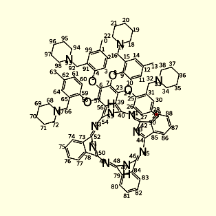 Cc1ccc(Oc2c(Oc3ccc(C)cc3CN3CCCCC3)c(Oc3ccc(C)cc3CN3CCCCC3)c3c4nc5nc(nc6[nH]c(nc7nc(nc([nH]4)c3c2Oc2ccc(C)cc2CN2CCCCC2)-c2ccccc2-7)c2ccccc62)-c2ccccc2-5)c(CN2CCCCC2)c1